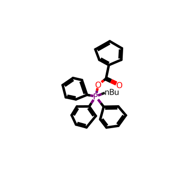 CCCCP(OC(=O)c1ccccc1)(c1ccccc1)(c1ccccc1)c1ccccc1